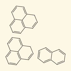 C1=Cc2cccc3cccc(c23)C1.C1=Cc2cccc3cccc(c23)C1.c1ccc2ccccc2c1